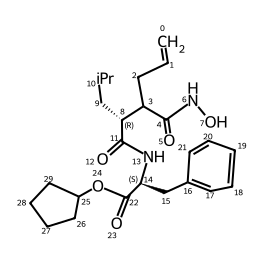 C=CCC(C(=O)NO)[C@@H](CC(C)C)C(=O)N[C@@H](Cc1ccccc1)C(=O)OC1CCCC1